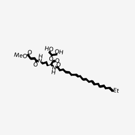 CCC=CCC=CCC=CCC=CCC=CCC=CCCC(=O)N[C@@H](CCCNC(=O)C=CC(=O)OC)C(=O)OC(CO)CO